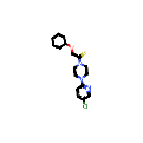 S=C(COC1CCCCC1)N1CCN(c2ccc(Cl)cn2)CC1